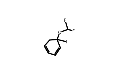 FC(F)OC1(I)C=CC=CC1